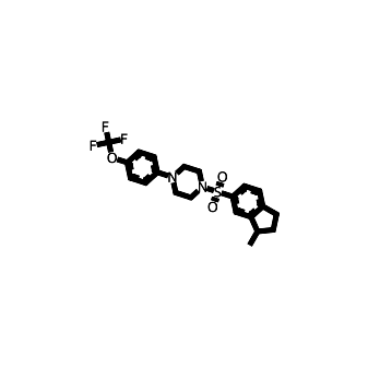 CC1CCc2ccc(S(=O)(=O)N3CCN(c4ccc(OC(F)(F)F)cc4)CC3)cc21